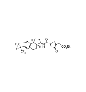 CCOC(=O)CN1C[C@@H](C(=O)N[C@@H]2CC[C@H]3c4ccc(C(F)(C(F)(F)F)C(F)(F)F)cc4CC[C@@H]23)CC1=O